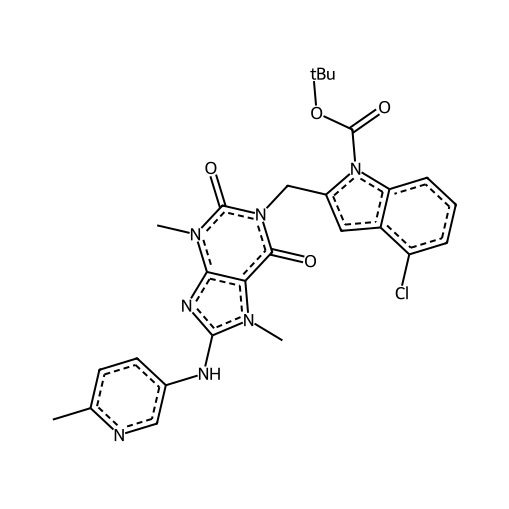 Cc1ccc(Nc2nc3c(c(=O)n(Cc4cc5c(Cl)cccc5n4C(=O)OC(C)(C)C)c(=O)n3C)n2C)cn1